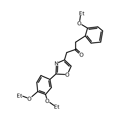 CCOc1ccccc1CC(=O)Cc1coc(-c2ccc(OCC)c(OCC)c2)n1